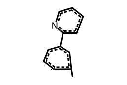 Cc1[c]ccc(-c2ccccn2)c1